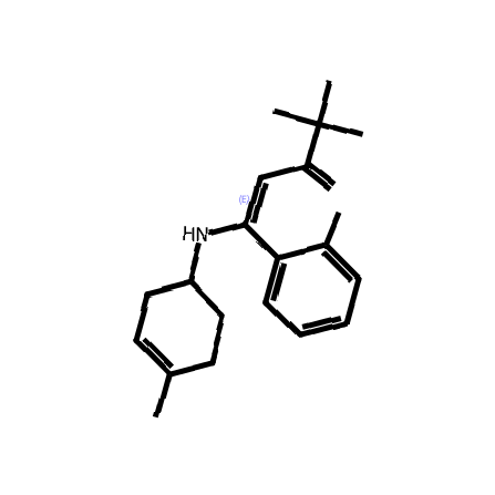 C=C(/C=C(/NC1CC=C(C)CC1)c1ccccc1C)C(C)(C)C